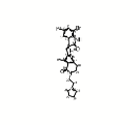 Cc1c(/C=C2\C(=O)Nc3c(Br)cc(F)cc32)[nH]c2c1C(=O)N(CCN1CCCC1)CC2